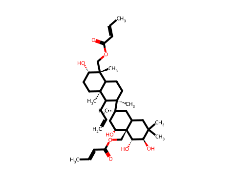 C=CCC1[C@@]2(C)CC[C@H](O)[C@](C)(COC(=O)/C=C/C)C2CC[C@@]1(C)[C@@]1(C)CC2CC(C)(C)[C@@H](O)[C@H](O)[C@]2(COC(=O)/C=C/C)[C@H](O)C1